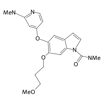 CNC(=O)n1ccc2cc(Oc3ccnc(NC)c3)c(OCCCOC)cc21